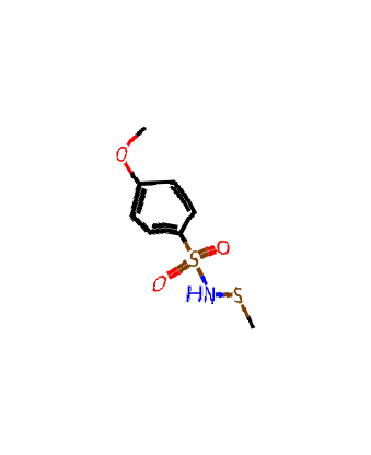 COc1ccc(S(=O)(=O)NSC)cc1